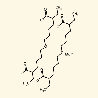 CCC(CCCCOCCCCC(CC)C(=O)[O-])C(=O)[O-].CCC(CCCCOCCCCC(CC)C(=O)[O-])C(=O)[O-].[Mo+4]